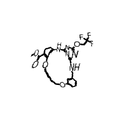 COC(=O)c1ccc2cc1OCCCCOc1cccc(c1)CNc1nc(nc(OCC(F)(F)F)n1)N2